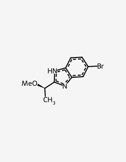 CO[C@H](C)c1nc2cc(Br)ccc2[nH]1